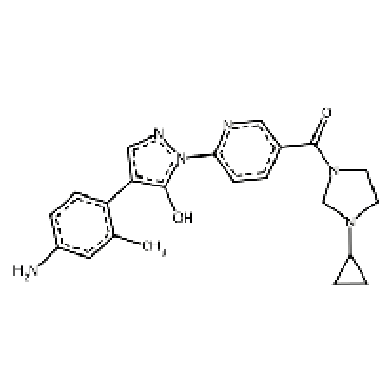 Cc1cc(N)ccc1-c1cnn(-c2ccc(C(=O)N3CCN(C4CC4)C3)cn2)c1O